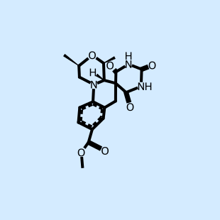 COC(=O)c1ccc2c(c1)CC1(C(=O)NC(=O)NC1=O)[C@H]1[C@H](C)O[C@H](C)CN21